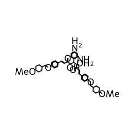 COC1CCC(COc2ccc(/C=C/C(=O)C(O)C(c3ccc(N)cc3N)C(O)C(=O)/C=C/c3ccc(OCC4CCC(OC)CC4)cc3)cc2)CC1